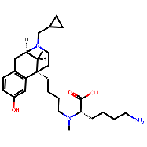 C[C@H]1[C@H]2Cc3ccc(O)cc3[C@]1(CCCCN(C)[C@@H](CCCCN)C(=O)O)CCN2CC1CC1